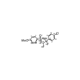 COc1ccc(S(=O)(=O)NC(F)(c2ccc(Cl)cc2)C(F)F)nn1